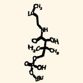 [CH3][Lu][CH2]CNC(=O)C(O)C(C)(C)COP(=O)(O)OC(C)(C)C